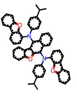 CC(C)c1ccc(N(c2cccc3c2oc2ccccc23)c2c3ccccc3c(N(c3ccc(C(C)C)cc3)c3cccc4c3oc3ccccc34)c3c2oc2ccccc23)cc1